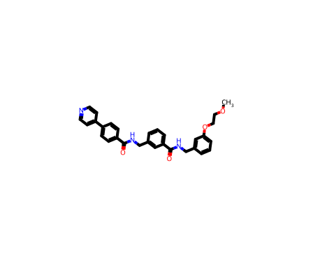 COCCOc1cccc(CNC(=O)c2cccc(CNC(=O)c3ccc(-c4ccncc4)cc3)c2)c1